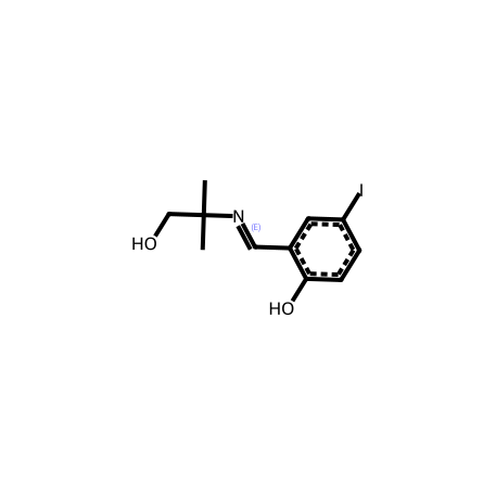 CC(C)(CO)/N=C/c1cc(I)ccc1O